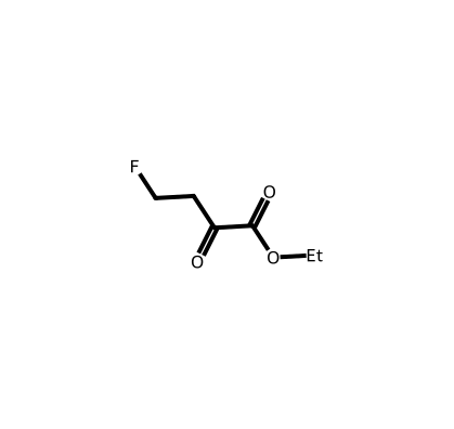 CCOC(=O)C(=O)CCF